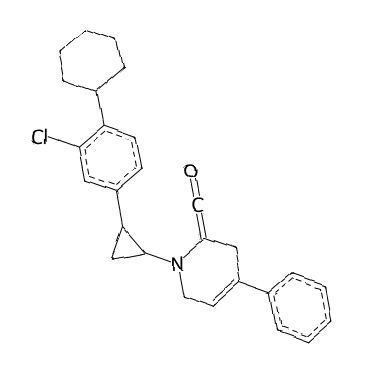 O=C=C1CC(c2ccccc2)=CCN1C1CC1c1ccc(C2CCCCC2)c(Cl)c1